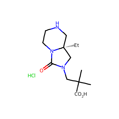 CC[C@@]12CNCCN1C(=O)N(CC(C)(C)C(=O)O)C2.Cl